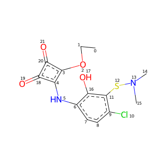 CCOc1c(Nc2ccc(Cl)c(SN(C)C)c2O)c(=O)c1=O